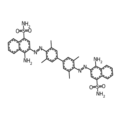 Cc1cc(-c2cc(C)c(/N=N/c3cc(S(N)(=O)=O)c4ccccc4c3N)c(C)c2)cc(C)c1/N=N/c1cc(S(N)(=O)=O)c2ccccc2c1N